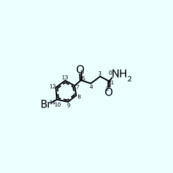 NC(=O)CCC(=O)c1ccc(Br)cc1